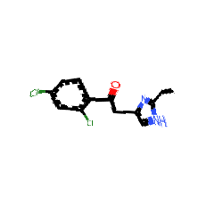 Cc1nc(CC(=O)c2ccc(Cl)cc2Cl)c[nH]1